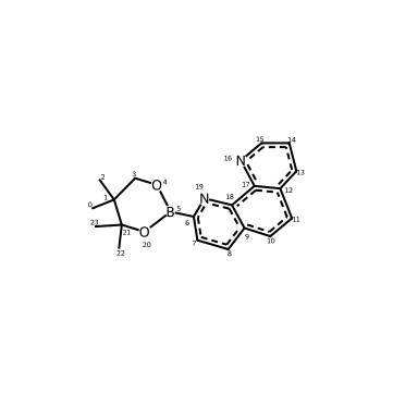 CC1(C)COB(c2ccc3ccc4cccnc4c3n2)OC1(C)C